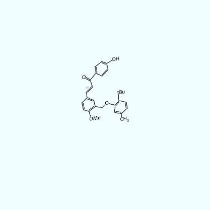 COc1ccc(/C=C/C(=O)c2ccc(O)cc2)cc1COc1cc(C)ccc1C(C)(C)C